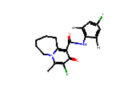 CCc1cc(F)cc(CC)c1NC(=O)c1c2n(c(C)c(Br)c1=O)CCCCC2